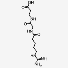 N=C(N)NCCCCC(=O)NCC(=O)NCCC(=O)O